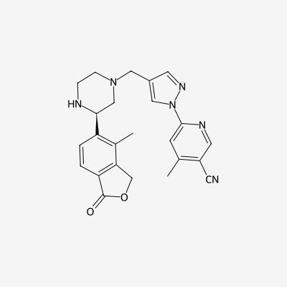 Cc1cc(-n2cc(CN3CCN[C@H](c4ccc5c(c4C)COC5=O)C3)cn2)ncc1C#N